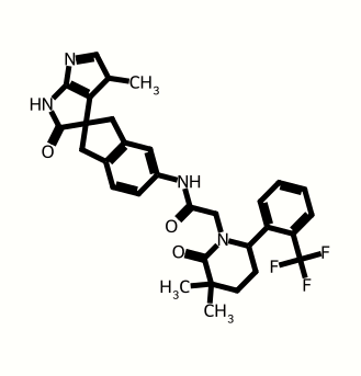 CC1C=NC2=C1C1(Cc3ccc(NC(=O)CN4C(=O)C(C)(C)CCC4c4ccccc4C(F)(F)F)cc3C1)C(=O)N2